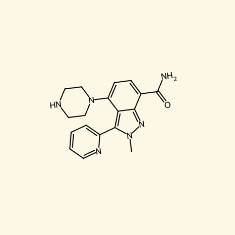 Cn1nc2c(C(N)=O)ccc(N3CCNCC3)c2c1-c1ccccn1